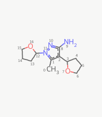 Cc1c(C2CCCO2)c(N)nn1C1CCCO1